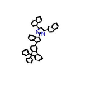 c1ccc(C2(c3ccccc3)c3ccccc3-c3cc(-c4ccc(-c5nc(-c6ccc7ccccc7c6)cc(-c6cccc7ccccc67)n5)c5ccccc45)ccc32)cc1